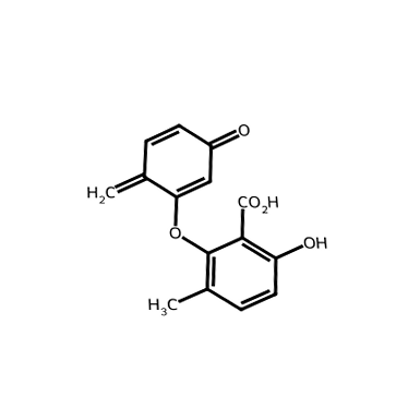 C=C1C=CC(=O)C=C1Oc1c(C)ccc(O)c1C(=O)O